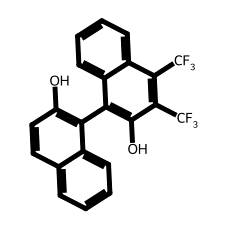 Oc1ccc2ccccc2c1-c1c(O)c(C(F)(F)F)c(C(F)(F)F)c2ccccc12